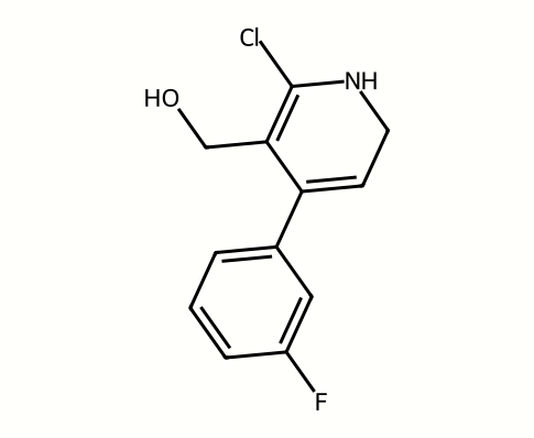 OCC1=C(Cl)NCC=C1c1cccc(F)c1